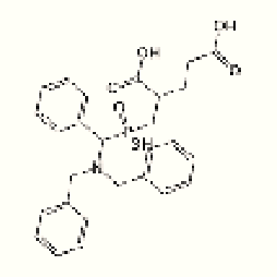 O=C(O)CCC(CP(=O)(O)C(c1ccccc1)N(Cc1ccccc1)Cc1ccccc1)C(=O)O